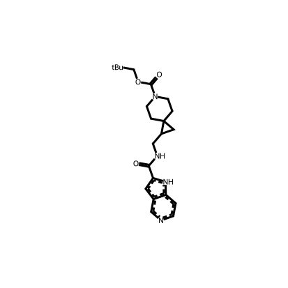 CC(C)(C)COC(=O)N1CCC2(CC1)CC2CNC(=O)c1cc2cnccc2[nH]1